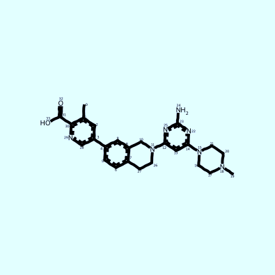 Cc1cc(-c2ccc3c(c2)CN(c2cc(N4CCN(C)CC4)nc(N)n2)CC3)cnc1C(=O)O